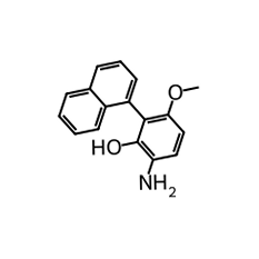 COc1ccc(N)c(O)c1-c1cccc2ccccc12